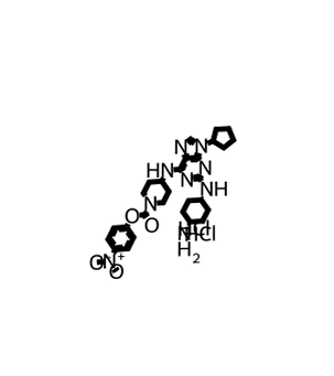 Cl.Cl.N[C@H]1CC[C@H](Nc2nc(NC3CCN(C(=O)Oc4ccc([N+](=O)[O-])cc4)CC3)c3ncn(C4CCCC4)c3n2)CC1